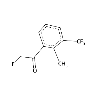 Cc1c(C(=O)CF)cccc1C(F)(F)F